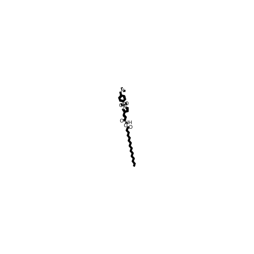 CCCCCCCCCCCCCCCC(=O)ONC(=O)/C=C/c1ccn(S(=O)(=O)c2ccc(CN(C)C)cc2)c1